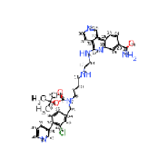 CC(C)(C)OC(=O)N(CCCCNCCNc1nc2cc(C(N)=O)ccc2c2cnccc12)Cc1ccc(-c2cccnc2)c(Cl)c1